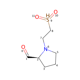 O=C[C@@H]1CCCN1CC[SH](=O)=O